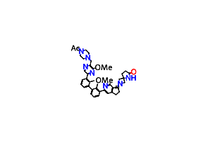 COc1nc(-c2cccc(-c3cccc(-c4cc5c(c(OC)n4)[C@@H](N4CC6(CCC(=O)N6)C4)CC5)c3C)c2C)cnc1CN1CCN(C(C)=O)CC1